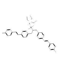 CC[Si](CC)(CC)OC(C)(C)C(Cc1ccc(C=Cc2ccc(C)cc2)cc1)Cc1ccc(C=Cc2ccc(C)cc2)cc1